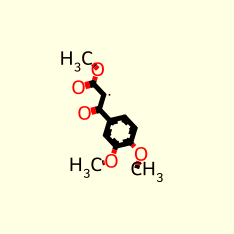 COC(=O)[CH]C(=O)c1ccc(OC)c(OC)c1